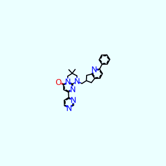 CC1(C)CN(CC2Cc3ccc(-c4ccccc4)nc3C2)c2nc(-c3ccncn3)cc(=O)n2C1